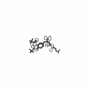 COC(=O)[C@@](N)(CCOC(=O)CCC(C)C)Cc1ccc(OC(=O)C(C)(C)C)c(OC(=O)C(C)(C)C)c1